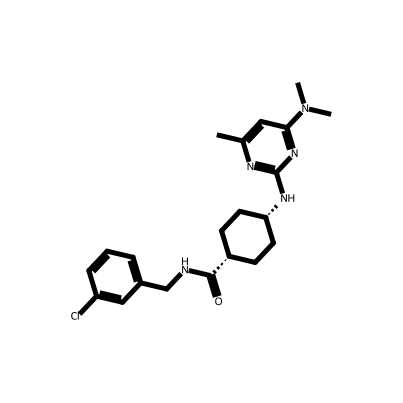 Cc1cc(N(C)C)nc(N[C@H]2CC[C@@H](C(=O)NCc3cccc(Cl)c3)CC2)n1